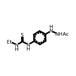 CCNC(=S)Nc1ccc(NNC(C)=O)cc1